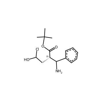 CC(C)(C)OC(=O)[C@@H](CC(O)Cl)C(N)c1ccccc1